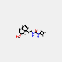 O=C(NCCc1cccc2ccc(O)cc12)NC1CCC1